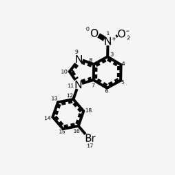 O=[N+]([O-])c1cccc2c1ncn2-c1cccc(Br)c1